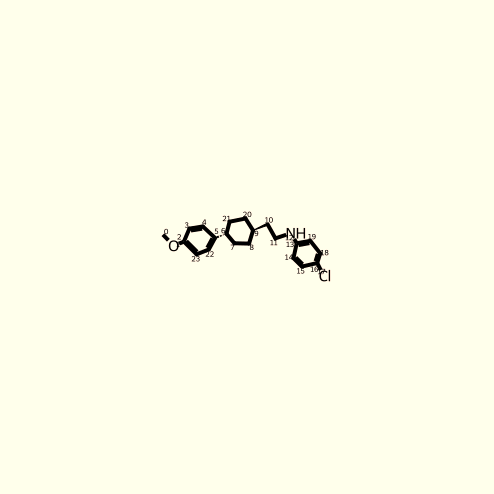 COc1ccc([C@H]2CC[C@H](CCNc3ccc(Cl)cc3)CC2)cc1